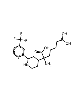 NC(CCCCB(O)O)(C(=O)O)C1CCNC(c2cc(C(F)(F)F)ccn2)C1